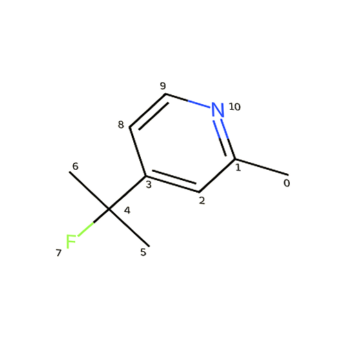 Cc1cc(C(C)(C)F)ccn1